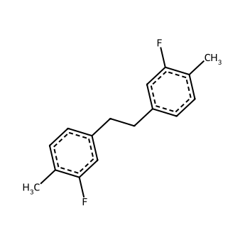 Cc1ccc(CCc2ccc(C)c(F)c2)cc1F